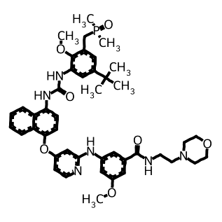 COc1cc(Nc2cc(Oc3ccc(NC(=O)Nc4cc(C(C)(C)C)cc(CP(C)(C)=O)c4OC)c4ccccc34)ccn2)cc(C(=O)NCCN2CCOCC2)c1